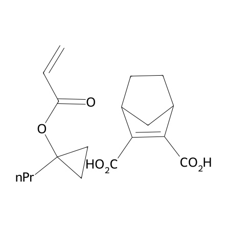 C=CC(=O)OC1(CCC)CC1.O=C(O)C1=C(C(=O)O)C2CCC1C2